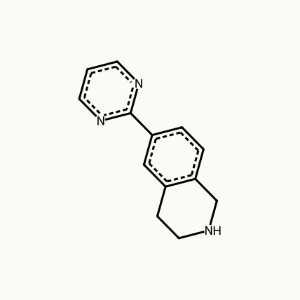 c1cnc(-c2ccc3c(c2)CCNC3)nc1